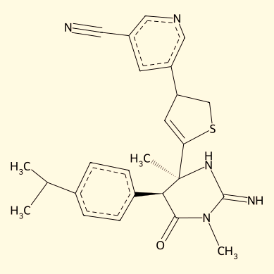 CC(C)c1ccc([C@@H]2C(=O)N(C)C(=N)N[C@]2(C)C2=CC(c3cncc(C#N)c3)CS2)cc1